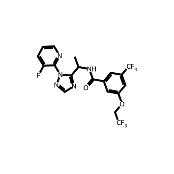 CC(NC(=O)c1cc(OCC(F)(F)F)cc(C(F)(F)F)c1)c1ncnn1-c1ncccc1F